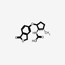 C[C@H]1CCC(Oc2ccc3c(c2)COC3=O)[C@@H]1NC(=O)O